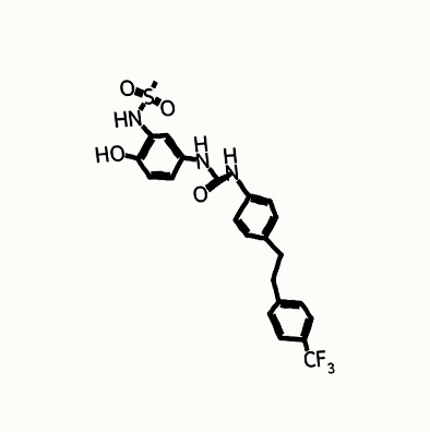 CS(=O)(=O)Nc1cc(NC(=O)Nc2ccc(CCc3ccc(C(F)(F)F)cc3)cc2)ccc1O